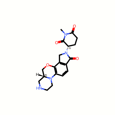 CN1C(=O)CC[C@H](N2Cc3c(ccc4c3OC[C@H]3CNCCN43)C2=O)C1=O